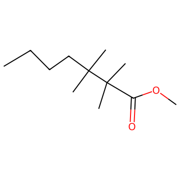 CCCCC(C)(C)C(C)(C)C(=O)OC